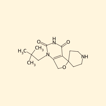 CC(C)(C)Cn1c2c(c(=O)[nH]c1=O)C1(CCNCC1)OC2